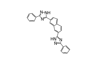 c1ccc(-c2n[nH]c(-c3ccc4ccc(-c5nc(-c6ccccc6)n[nH]5)cc4c3)n2)cc1